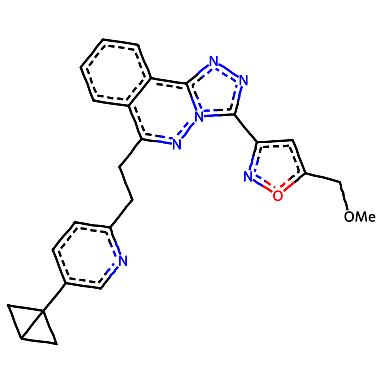 COCc1cc(-c2nnc3c4ccccc4c(CCc4ccc(C56CC5C6)cn4)nn23)no1